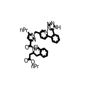 CCCOC(=O)CC(Cc1ccccc1Cl)NC(=O)c1cc(CCC)n(Cc2ccc(-c3ccccc3-c3nnn[nH]3)nc2)n1